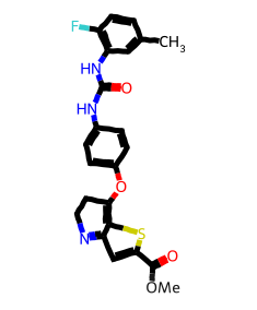 COC(=O)c1cc2c(s1)=C(Oc1ccc(NC(=O)Nc3cc(C)ccc3F)cc1)CCN=2